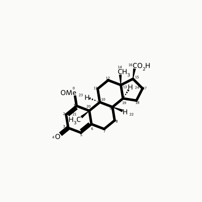 COC1=CC(=O)C=C2CC[C@@H]3[C@H](CC[C@]4(C)[C@@H](C(=O)O)CC[C@@H]34)[C@]21C